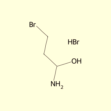 Br.NC(O)CCBr